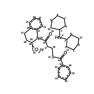 C1CCC(NC2CCCCC2)CC1.O=C(SCCC(=O)N1c2ccccc2CC[C@@H]1C(=O)O)c1ccccc1